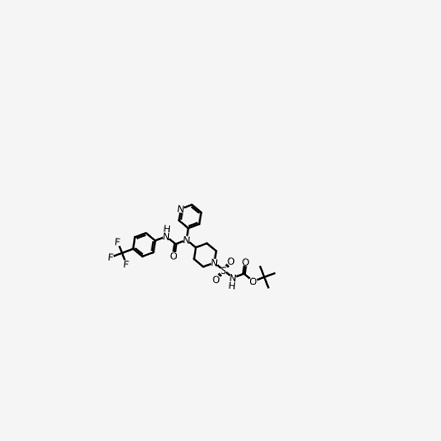 CC(C)(C)OC(=O)NS(=O)(=O)N1CCC(N(C(=O)Nc2ccc(C(F)(F)F)cc2)c2cccnc2)CC1